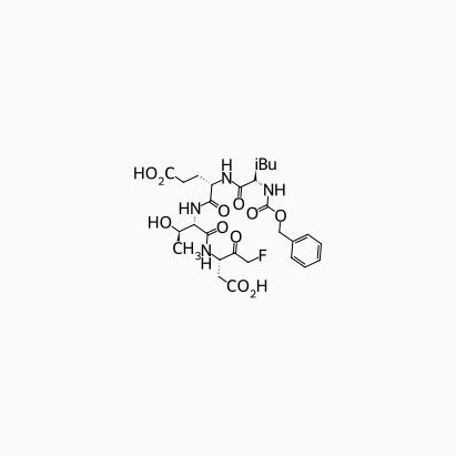 CC[C@H](C)[C@H](NC(=O)OCc1ccccc1)C(=O)N[C@@H](CCC(=O)O)C(=O)N[C@H](C(=O)N[C@@H](CC(=O)O)C(=O)CF)[C@@H](C)O